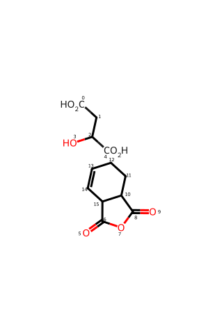 O=C(O)CC(O)C(=O)O.O=C1OC(=O)C2CCC=CC12